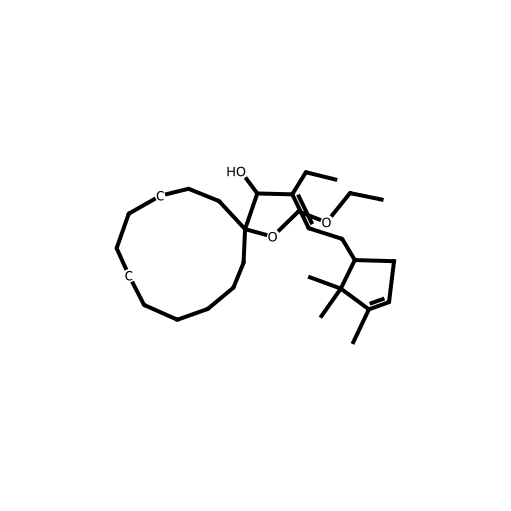 CCOCOC1(C(O)C(=CCC2CC=C(C)C2(C)C)CC)CCCCCCCCCCC1